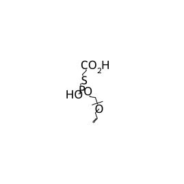 C=CCOC(C)(C)CCOP(O)CSCCC(=O)O